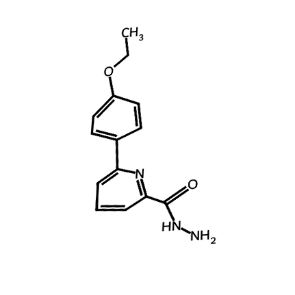 CCOc1ccc(-c2cccc(C(=O)NN)n2)cc1